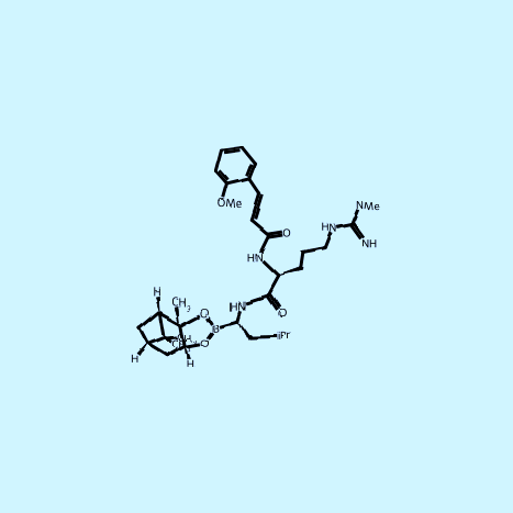 CNC(=N)NCCC[C@H](NC(=O)/C=C/c1ccccc1OC)C(=O)N[C@@H](CC(C)C)B1O[C@@H]2C[C@@H]3C[C@@H](C3(C)C)[C@]2(C)O1